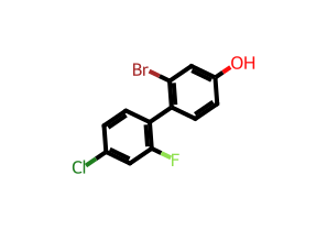 Oc1ccc(-c2ccc(Cl)cc2F)c(Br)c1